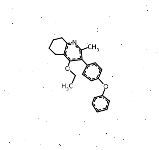 CCOc1c2c(nc(C)c1-c1ccc(Oc3ccccc3)cc1)CCCC2